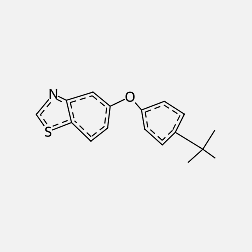 CC(C)(C)c1ccc(Oc2ccc3scnc3c2)cc1